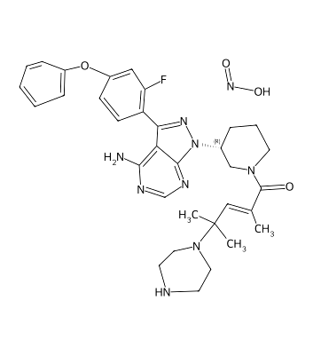 CC(=CC(C)(C)N1CCNCC1)C(=O)N1CCC[C@@H](n2nc(-c3ccc(Oc4ccccc4)cc3F)c3c(N)ncnc32)C1.O=NO